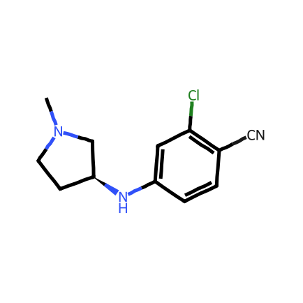 CN1CC[C@H](Nc2ccc(C#N)c(Cl)c2)C1